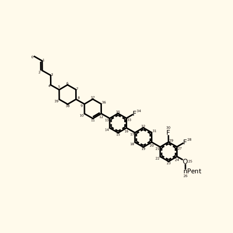 C/C=C/CCC1CCC(C2CC=C(c3ccc(-c4ccc(-c5ccc(OCCCCC)c(F)c5F)cc4)c(F)c3)CC2)CC1